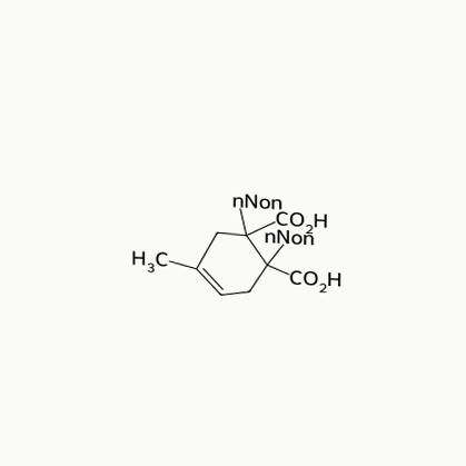 CCCCCCCCCC1(C(=O)O)CC=C(C)CC1(CCCCCCCCC)C(=O)O